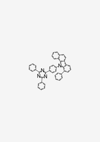 c1ccc(-c2nc(-c3ccccc3)nc(-c3ccc(-n4c5c(-c6ccccc6)cccc5c5ccc6ccccc6c54)cc3)n2)cc1